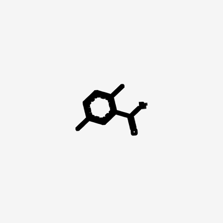 Cc1ccc(C)c(C(=O)Br)c1